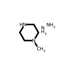 CN1CCNCC1.N.N